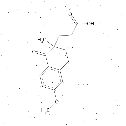 COc1ccc2c(c1)CCC(C)(CCC(=O)O)C2=O